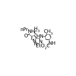 CCCNC(=O)c1cn2ncnc(Nc3cc(NC(=O)OCC)ccc3C)c2c1C